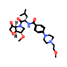 COCCN1CCN(c2ccc(C(=O)N[C@@H](CC(C)C)C(=O)N3C[C@H](OC)[C@H]4OCC(=O)[C@H]43)cc2)CC1